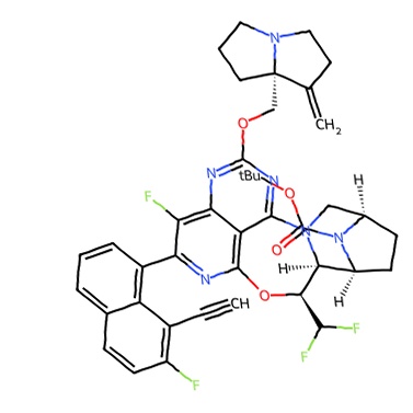 C#Cc1c(F)ccc2cccc(-c3nc4c5c(nc(OC[C@]67CCCN6CCC7=C)nc5c3F)N3C[C@H]5CC[C@@H]([C@H]3[C@@H](C(F)F)O4)N5C(=O)OC(C)(C)C)c12